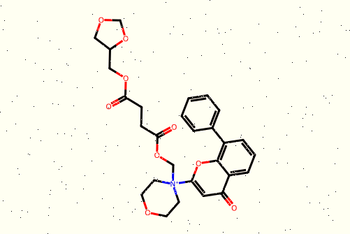 O=C(CCC(=O)OC[N+]1(c2cc(=O)c3cccc(-c4ccccc4)c3o2)CCOCC1)OCC1COCO1